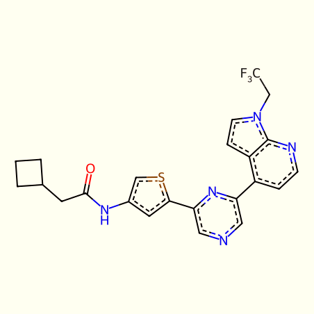 O=C(CC1CCC1)Nc1csc(-c2cncc(-c3ccnc4c3ccn4CC(F)(F)F)n2)c1